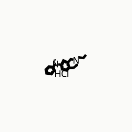 CCCN1CCc2ccc(N(C)c3ccccc3)cc2C1.Cl